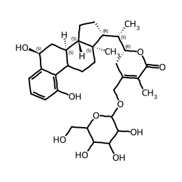 CC1=C(COC2OC(CO)C(O)C(O)C2O)C[C@H]([C@@H](C)[C@H]2CC[C@H]3[C@@H]4C[C@H](O)c5cccc(O)c5C4CC[C@]23C)OC1=O